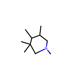 CC1CN(C)CC(C)(C)C1C